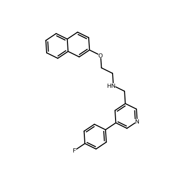 Fc1ccc(-c2cncc(CNCCOc3ccc4ccccc4c3)c2)cc1